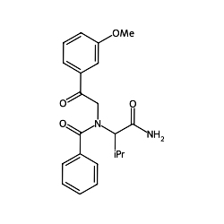 COc1cccc(C(=O)CN(C(=O)c2ccccc2)C(C(N)=O)C(C)C)c1